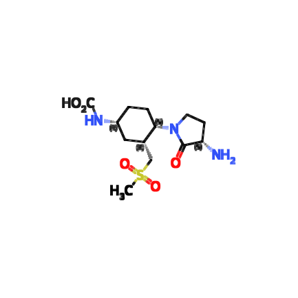 CS(=O)(=O)C[C@@H]1C[C@H](NC(=O)O)CC[C@@H]1N1CC[C@H](N)C1=O